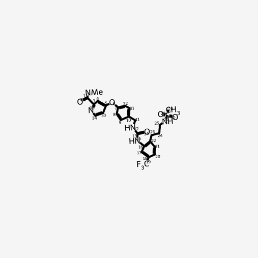 CNC(=O)c1cc(Oc2ccc(CNC(=O)Nc3cc(C(F)(F)F)ccc3CCCNS(C)(=O)=O)cc2)ccn1